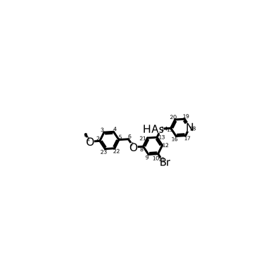 COc1ccc(COc2cc(Br)cc([AsH]c3ccncc3)c2)cc1